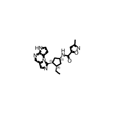 CC[C@@H]1C[C@H](NC(=O)c2cc(C)no2)C[C@@H]1c1ncc2cnc3[nH]ccc3n12